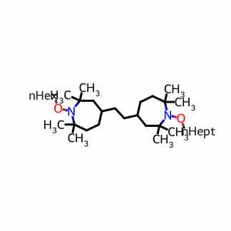 CCCCCCCON1C(C)(C)CCC(CCC2CCC(C)(C)N(OCCCCCC)C(C)(C)C2)CC1(C)C